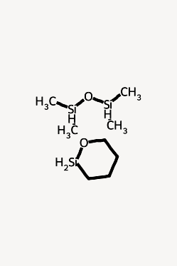 C1CC[SiH2]OC1.C[SiH](C)O[SiH](C)C